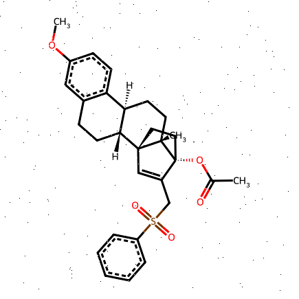 COc1ccc2c(c1)CC[C@@H]1[C@@H]2CC[C@@]2(C)[C@]13C=C(CS(=O)(=O)c1ccccc1)[C@]2(OC(C)=O)CC3